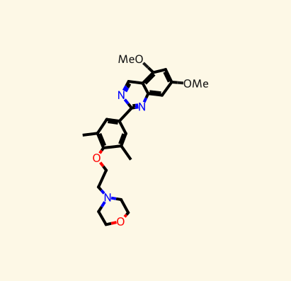 COc1cc(OC)c2cnc(-c3cc(C)c(OCCN4CCOCC4)c(C)c3)nc2c1